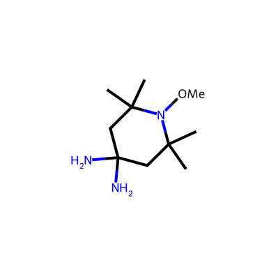 CON1C(C)(C)CC(N)(N)CC1(C)C